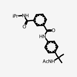 CC(=O)NC(C)(C)c1ccc(NC(=O)c2cccc(C(=O)NC(C)C)c2)cc1